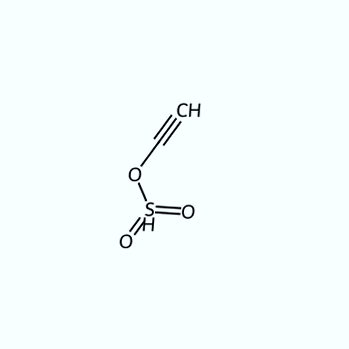 C#CO[SH](=O)=O